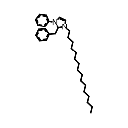 CCCCCCCCCCCCCCCCN1C=CN(c2ccccc2)C1Cc1ccccc1